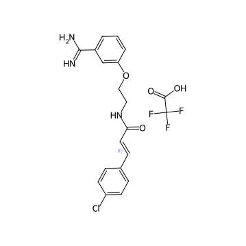 N=C(N)c1cccc(OCCNC(=O)/C=C/c2ccc(Cl)cc2)c1.O=C(O)C(F)(F)F